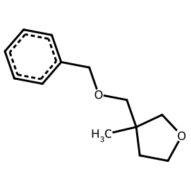 CC1(COCc2ccccc2)CCOC1